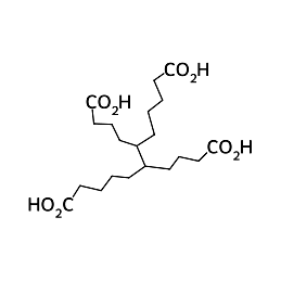 O=C(O)CCCCC(CCCC(=O)O)C(CCCCC(=O)O)CCCC(=O)O